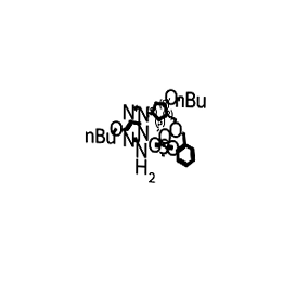 CCCCOc1nc(N)nc2c1ncn2[C@H]1C[C@H](OCCCC)[C@@H](COCc2ccccc2)[C@@H]1COS(C)(=O)=O